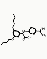 CCCCOc1cc(OCCCC)cc(C(Nc2ccc(C(=N)N)cc2)C(=O)O)c1